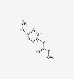 CC(=O)OCC(=O)Cc1ccc(OC(F)(F)F)cc1